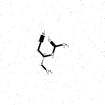 CC[C@H](CC#N)OC(C)=O